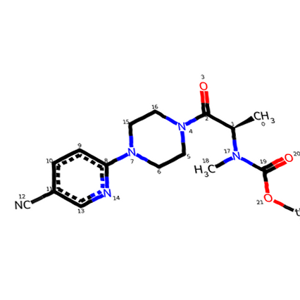 C[C@H](C(=O)N1CCN(c2ccc(C#N)cn2)CC1)N(C)C(=O)OC(C)(C)C